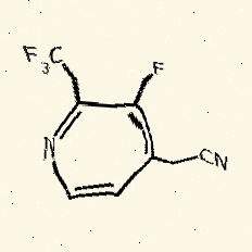 N#Cc1ccnc(C(F)(F)F)c1F